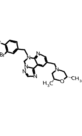 C[C@@H]1CN(Cc2cnc3c(c2)-c2ncnn2CN3Cc2ccc(F)c(Br)c2)C[C@H](C)O1